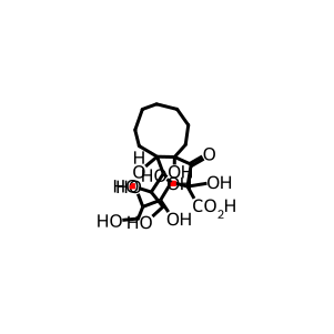 O=C(O)C(O)(C(=O)C1(O)CCCCCCCC1(O)C(O)C(O)CO)C(O)C(O)C(O)CO